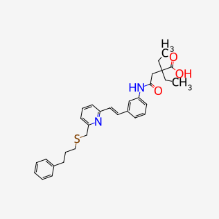 CCC(CC)(CC(=O)Nc1cccc(/C=C/c2cccc(CSCCCc3ccccc3)n2)c1)C(=O)O